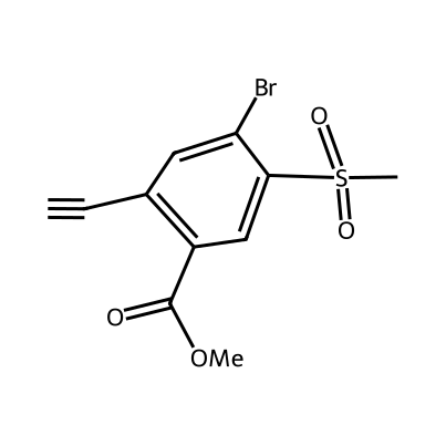 C#Cc1cc(Br)c(S(C)(=O)=O)cc1C(=O)OC